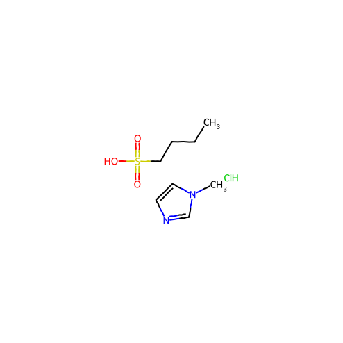 CCCCS(=O)(=O)O.Cl.Cn1ccnc1